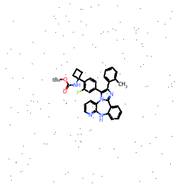 Cc1ccccc1-c1nc2n(c1-c1ccc(C3(NC(=O)OC(C)(C)C)CCC3)c(F)c1)-c1cccnc1Nc1ccccc1-2